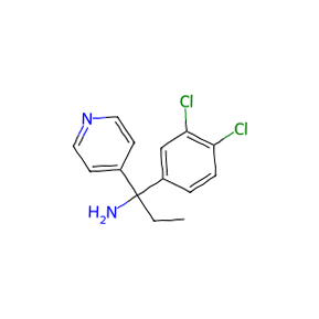 CCC(N)(c1ccncc1)c1ccc(Cl)c(Cl)c1